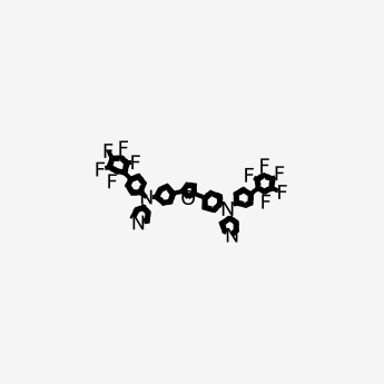 Fc1c(F)c(F)c(-c2ccc(N(c3ccncc3)c3ccc(-c4ccc(-c5ccc(N(c6ccncc6)c6ccc(-c7c(F)c(F)c(F)c(F)c7F)cc6)cc5)o4)cc3)cc2)c(F)c1F